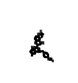 Cc1ccc(NC(=O)C2CNc3cc(OC(C)(F)F)ccc3O2)c(C#CCN2CCC(N)CC2)c1